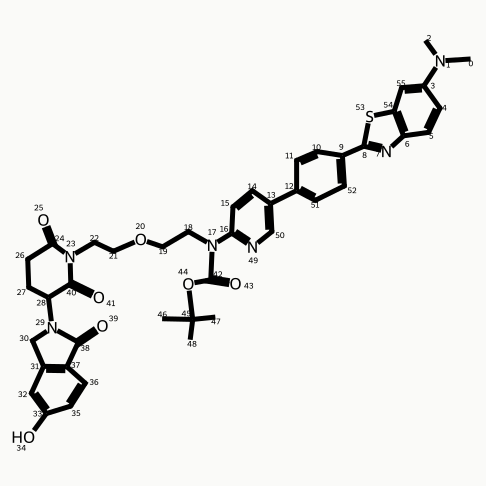 CN(C)c1ccc2nc(-c3ccc(-c4ccc(N(CCOCCN5C(=O)CCC(N6Cc7cc(O)ccc7C6=O)C5=O)C(=O)OC(C)(C)C)nc4)cc3)sc2c1